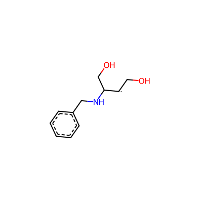 OC[CH]C(CO)NCc1ccccc1